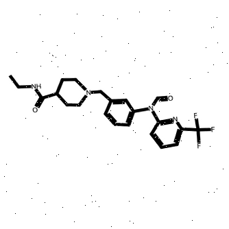 CCNC(=O)C1CCN(Cc2cccc(N(C=O)c3cccc(C(F)(F)F)n3)c2)CC1